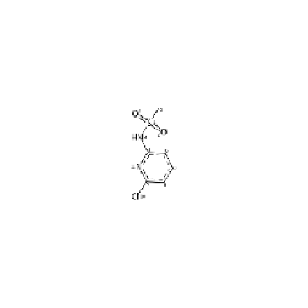 CS(=O)(=O)Nc1cccc(Cl)n1